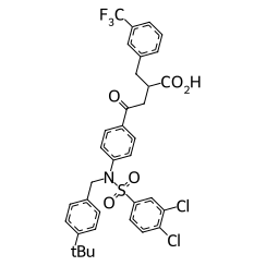 CC(C)(C)c1ccc(CN(c2ccc(C(=O)CC(Cc3cccc(C(F)(F)F)c3)C(=O)O)cc2)S(=O)(=O)c2ccc(Cl)c(Cl)c2)cc1